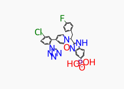 O=c1cc(-c2cc(Cl)ccc2-n2cnnn2)ccn1C(Cc1ccc(F)cc1)c1nc2cc(P(=O)(O)O)ccc2[nH]1